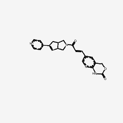 O=C1Nc2ncc(/C=C/C(=O)N3CC4C=C(c5ccncc5)CC4C3)cc2CO1